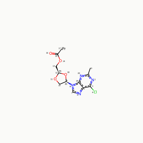 Cc1nc(Cl)c2ncn([C@H]3CO[C@@H](COC(=O)C(C)C)O3)c2n1